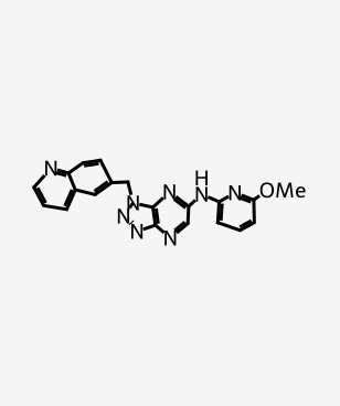 COc1cccc(Nc2cnc3nnn(Cc4ccc5ncccc5c4)c3n2)n1